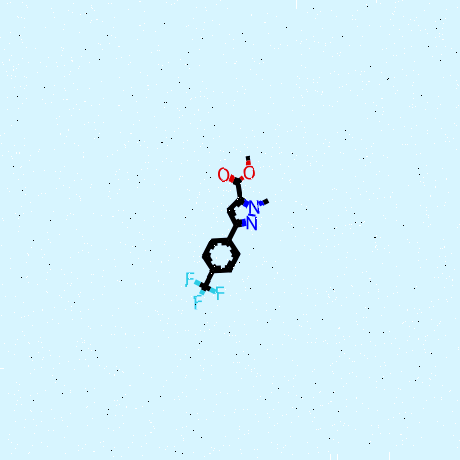 COC(=O)c1cc(-c2ccc(C(F)(F)F)cc2)nn1C